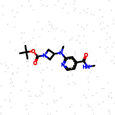 CNC(=O)c1ccnc(N(C)C2CN(C(=O)OC(C)(C)C)C2)c1